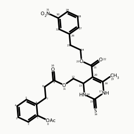 CC(=O)Oc1ccccc1CCC(=O)OCC1NC(=S)NC(C)=C1C(=O)OCCc1cccc([N+](=O)[O-])c1